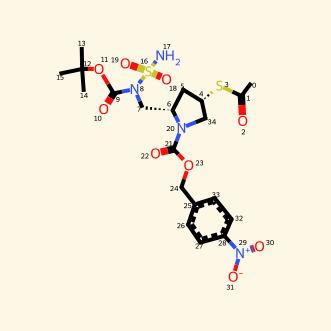 CC(=O)S[C@H]1C[C@@H](CN(C(=O)OC(C)(C)C)S(N)(=O)=O)N(C(=O)OCc2ccc([N+](=O)[O-])cc2)C1